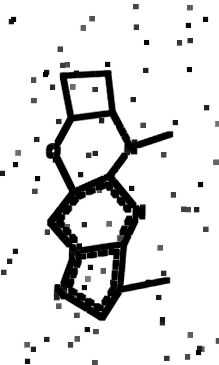 Cc1cnn2cc3c(nc12)N(C)C1CCC1O3